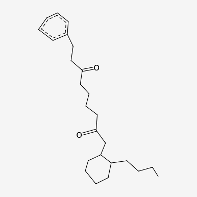 CCCCC1CCCCC1CC(=O)CCCCC(=O)CCc1ccccc1